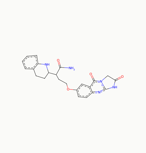 NC(=O)C(CCOc1ccc2nc3n(c(=O)c2c1)CC(=O)N3)C1CCc2ccccc2N1